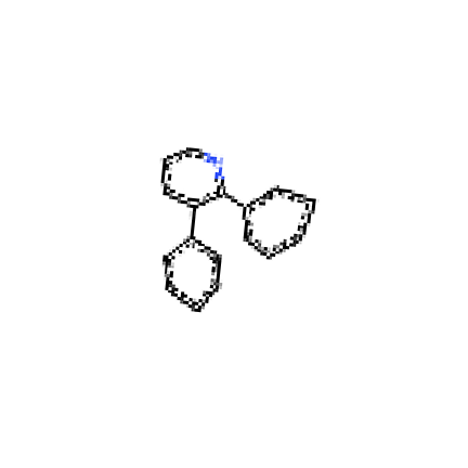 [c]1ccccc1-c1ncccc1-c1ccccc1